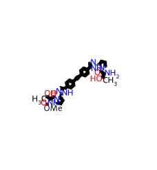 COC(=O)N[C@H](C(=O)N1CCC[C@H]1c1ncc(-c2ccc(C#Cc3ccc(-c4cnc([C@@H]5CCCN5C(=O)[C@@H](N)[C@@H](C)O)[nH]4)cc3)cc2)[nH]1)[C@@H](C)O